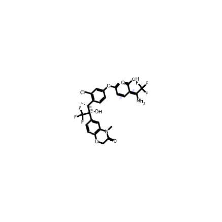 C=C(/C=C\C(C(=O)O)=C(/N)C(F)(F)F)Oc1ccc([C@@H](C)[C@@](O)(c2ccc3c(c2)N(C)C(=O)CO3)C(F)(F)F)c(Cl)c1